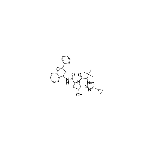 CC(C)(C)C(C(=O)N1CC(O)CC1C(=O)NC1CC(c2ccccc2)Oc2ccccc21)n1cc(C2CC2)nn1